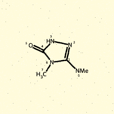 CNc1n[nH]c(=O)n1C